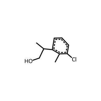 C[C](CO)c1cccc(Cl)c1C